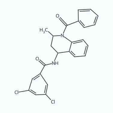 CC1CC(NC(=O)c2cc(Cl)cc(Cl)c2)c2ccccc2N1C(=O)c1ccccc1